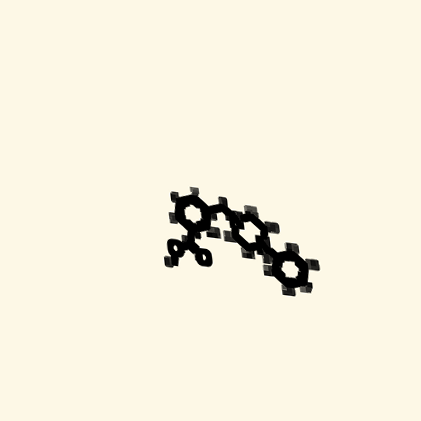 COC(=O)c1cccc(CN2CCN(c3ccccc3)CC2)c1